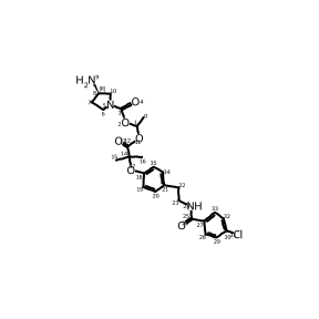 CC(OC(=O)N1CC[C@@H](N)C1)OC(=O)C(C)(C)Oc1ccc(CCNC(=O)c2ccc(Cl)cc2)cc1